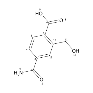 NC(=O)c1ccc(C(=O)O)c(CO)c1